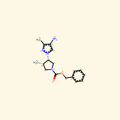 Cc1nn([C@@H]2CN(C(=O)OCc3ccccc3)C[C@@H]2C)cc1N